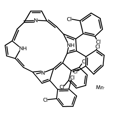 Clc1cccc(Cl)c1C1=Cc2cc3ccc(cc4nc(cc5[nH]c(c(-c6c(Cl)cccc6Cl)c1n2)c(-c1c(Cl)cccc1Cl)c5-c1c(Cl)cccc1Cl)C=C4)[nH]3.[Mn]